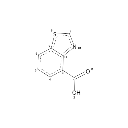 O=C(O)c1cccc2s[c]nc12